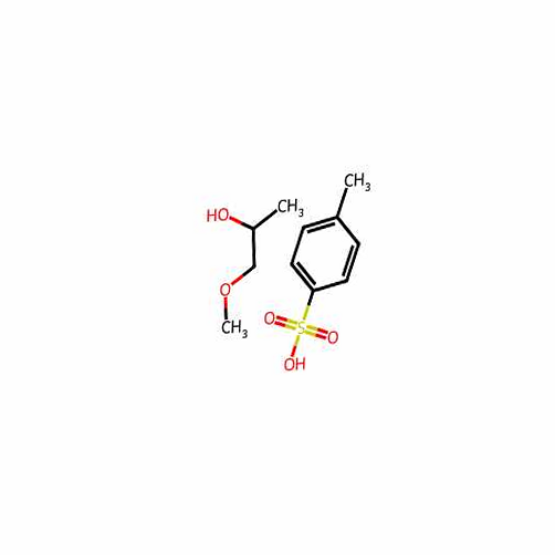 COCC(C)O.Cc1ccc(S(=O)(=O)O)cc1